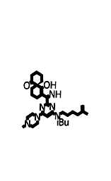 C=C(C)CCCCN(c1cc(N2CCN(C)CC2)nc(C(=N)C2=C(O)[C@]3(CCCCC3=O)CCC2)n1)[C@@H](C)CC